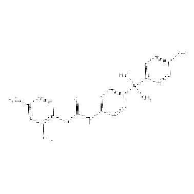 Cc1ccc(OC(=O)Nc2ccc(C(C)(C)c3ccc(O)cc3)cc2)c(C)c1